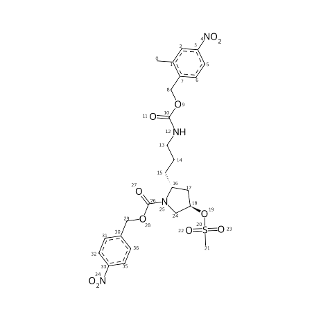 Cc1cc([N+](=O)[O-])ccc1COC(=O)NCCC[C@@H]1C[C@@H](OS(C)(=O)=O)CN1C(=O)OCc1ccc([N+](=O)[O-])cc1